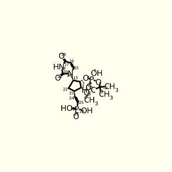 CO[C@H]1[C@@H](OP(=O)(O)OC(C)(C)C)[C@H](n2ccc(=O)[nH]c2=O)C[C@@H]1/C=C/P(=O)(O)O